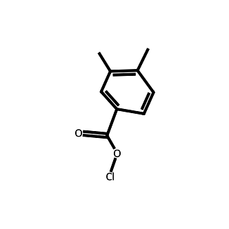 Cc1ccc(C(=O)OCl)cc1C